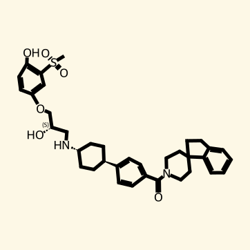 CS(=O)(=O)c1cc(OC[C@@H](O)CN[C@H]2CC[C@H](c3ccc(C(=O)N4CCC5(CCc6ccccc65)CC4)cc3)CC2)ccc1O